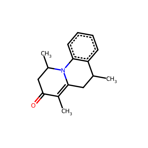 CC1=C2CC(C)c3ccccc3N2C(C)CC1=O